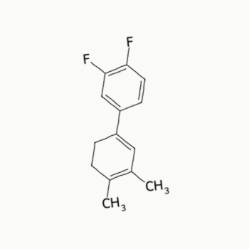 CC1=C(C)CCC(c2ccc(F)c(F)c2)=C1